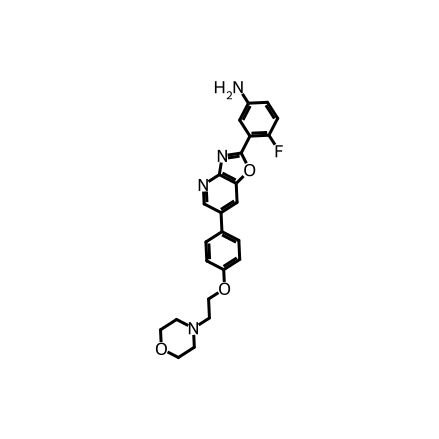 Nc1ccc(F)c(-c2nc3ncc(-c4ccc(OCCN5CCOCC5)cc4)cc3o2)c1